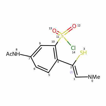 CN/C=C(\S)c1ccc(NC(C)=O)cc1S(=O)(=O)Cl